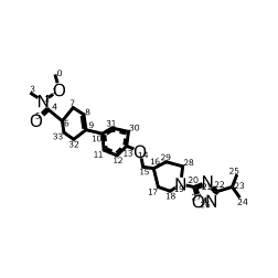 CON(C)C(=O)C1CC=C(c2ccc(OCC3CCN(c4nc(C(C)C)no4)CC3)cc2)CC1